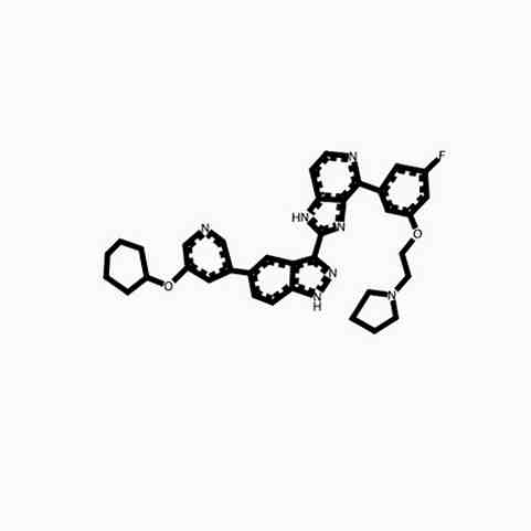 Fc1cc(OCCN2CCCC2)cc(-c2nccc3[nH]c(-c4n[nH]c5ccc(-c6cncc(OC7CCCCC7)c6)cc45)nc23)c1